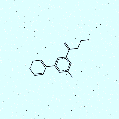 C=C(CCC)c1cc(I)cc(C2=CCCC=C2)c1